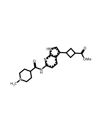 COC(=O)C1CC(c2c[nH]c3nc(NC(=O)C4CCN(C)CC4)ccc23)C1